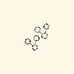 c1ccc(-c2ccccc2-c2ccccc2)cc1.c1ccc(-c2ccccc2-c2ccccc2)cc1